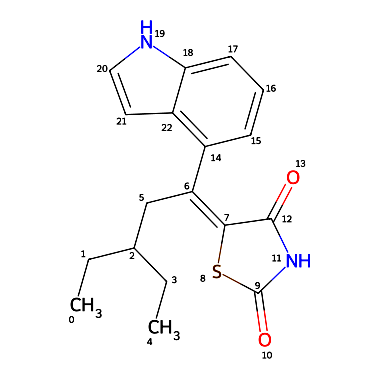 CCC(CC)CC(=C1SC(=O)NC1=O)c1cccc2[nH]ccc12